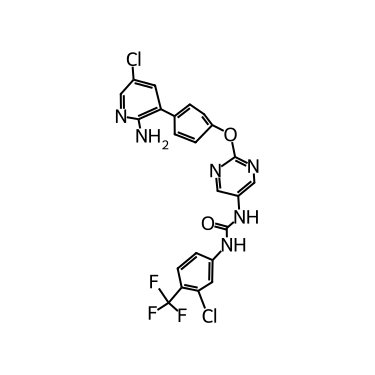 Nc1ncc(Cl)cc1-c1ccc(Oc2ncc(NC(=O)Nc3ccc(C(F)(F)F)c(Cl)c3)cn2)cc1